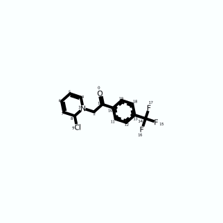 O=C(CN1C=CC=CC1Cl)c1ccc(C(F)(F)F)cc1